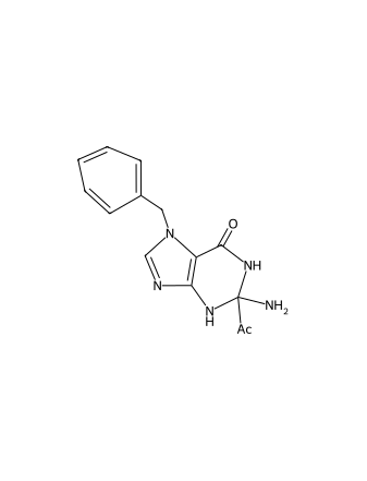 CC(=O)C1(N)NC(=O)c2c(ncn2Cc2ccccc2)N1